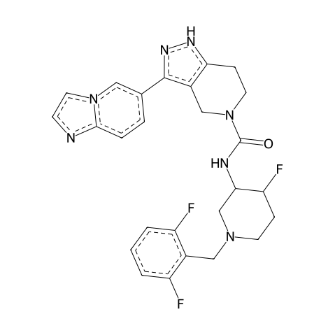 O=C(NC1CN(Cc2c(F)cccc2F)CCC1F)N1CCc2[nH]nc(-c3ccc4nccn4c3)c2C1